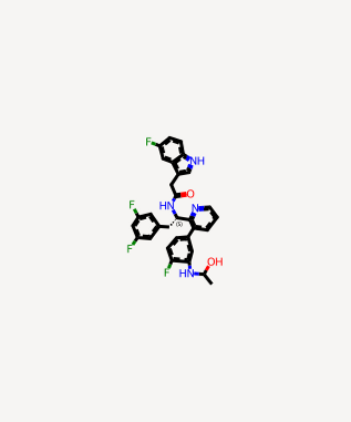 CC(O)Nc1cc(-c2cccnc2[C@H](Cc2cc(F)cc(F)c2)NC(=O)Cc2c[nH]c3ccc(F)cc23)ccc1F